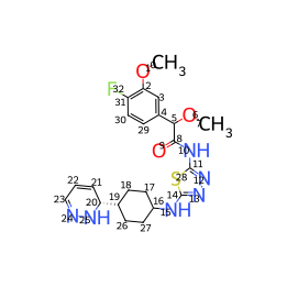 COc1cc(C(OC)C(=O)Nc2nnc(NC3CCC([C@H]4C=CC=NN4)CC3)s2)ccc1F